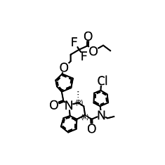 CCOC(=O)C(F)(F)CCOc1ccc(C(=O)N2c3ccccc3[C@H](C(=O)N(CC)c3ccc(Cl)cc3)C[C@H]2C)cc1